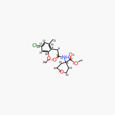 COC(=O)C1(NC(=O)Cc2c(C)cc(Cl)cc2OC)CCOCC1